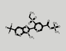 CCS(=O)(=O)c1cc(C(=O)N=S(C)(C)=O)cnc1-c1nc2cc(C(F)(F)F)nnc2n1C